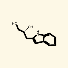 OC[C@H](O)Cc1cc2ccccc2[nH]1